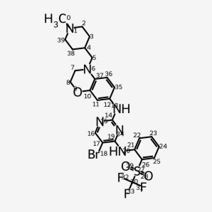 CN1CCC(CN2CCOc3cc(Nc4ncc(Br)c(Nc5ccccc5S(=O)(=O)C(F)(F)F)n4)ccc32)CC1